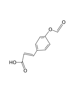 O=COc1ccc(C=CC(=O)O)cc1